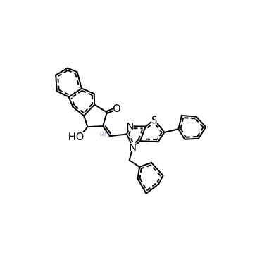 O=C1/C(=C\c2nc3sc(-c4ccccc4)cc3n2Cc2ccccc2)C(O)c2cc3ccccc3cc21